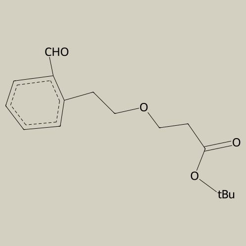 CC(C)(C)OC(=O)CCOCCc1ccccc1C=O